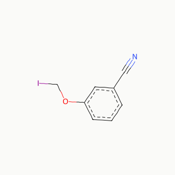 N#Cc1cccc(OCI)c1